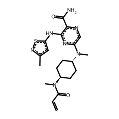 C=CC(=O)N(C)[C@H]1CC[C@H](N(C)c2cnc(C(N)=O)c(Nc3cc(C)ns3)n2)CC1